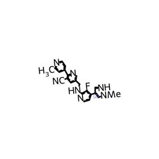 CN/C=C(\C=N)c1ccnc(NCc2cnc(-c3ccnc(C)c3)c(C#N)c2)c1F